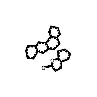 O=c1ccc2ccccc2o1.c1ccc2cc3c(ccc4ccccc43)cc2c1